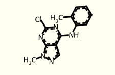 Cc1ccccc1Nc1nc(Cl)nc2c1cnn2C